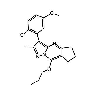 CCCOc1c2c(nc3c(-c4cc(OC)ccc4Cl)c(C)nn13)CCC2